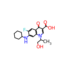 CC(CO)n1cc(C(=O)O)c(=O)c2cc(F)c(NC3CCCCC3)cc21